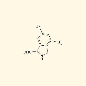 CC(=O)c1cc2c(c(C(F)(F)F)c1)CNC2C=O